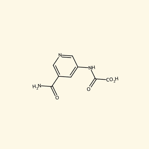 NC(=O)c1cncc(NC(=O)C(=O)O)c1